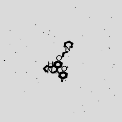 COc1ccc(C)cc1[C@H]1CN2CCC[C@H]2c2cc(OCCCN3CCCCC3)ccc21